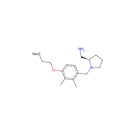 COCCOc1ccc(CN2CCC[C@@H]2CN)c(C)c1C